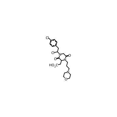 O=C(O)CC1C(=O)N(C(Cl)Cc2ccc(Cl)cc2)CC(=O)N1CCCN1CCOCC1